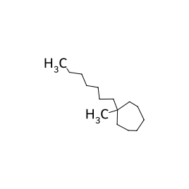 CCCCCCCC1(C)CCCCCC1